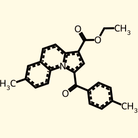 CCOC(=O)c1cc(C(=O)c2ccc(C)cc2)n2c1ccc1cc(C)ccc12